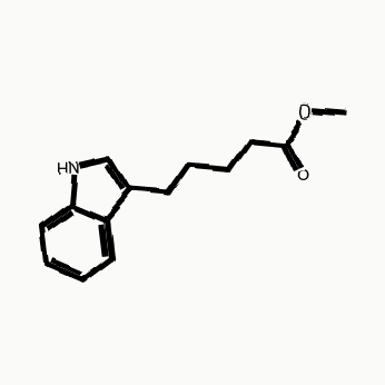 COC(=O)CCCCc1c[nH]c2ccccc12